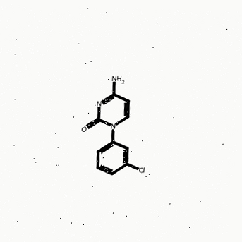 Nc1ccn(-c2cccc(Cl)c2)c(=O)n1